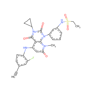 C#Cc1ccc(Nc2cc(=O)n(C)c3c2c(=O)n(C2CC2)c(=O)n3-c2cccc(NS(=O)(=O)CC)c2)c(F)c1